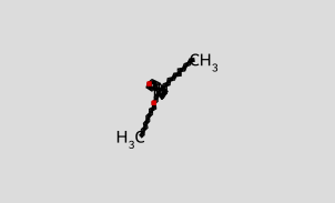 CCCCCCCCCCCCCN1C=CN(CCCCCCCCCCCC)C1c1ccccc1